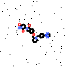 O=C1CCC(N2Cc3cc(OCC4CCCCN4Cc4ccc(-n5nccn5)cc4)ccc3C2=O)C(=O)N1